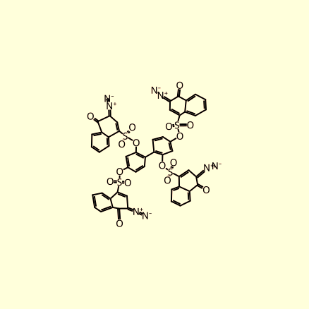 [N-]=[N+]=C1C=C(S(=O)(=O)Oc2ccc(-c3ccc(OS(=O)(=O)C4=CC(=[N+]=[N-])C(=O)c5ccccc54)cc3OS(=O)(=O)C3=CC(=[N+]=[N-])C(=O)c4ccccc43)c(OS(=O)(=O)C3=CC(=[N+]=[N-])C(=O)c4ccccc43)c2)c2ccccc2C1=O